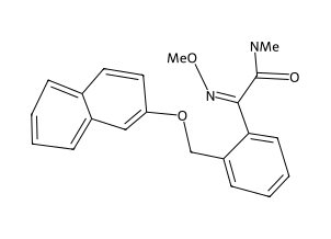 CNC(=O)C(=NOC)c1ccccc1COc1ccc2ccccc2c1